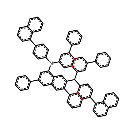 c1ccc(-c2cccc(C(c3ccc(-c4cccc5ccccc45)cc3)c3cc4c(N(c5ccc(-c6cccc7ccccc67)cc5)c5cccc(-c6ccccc6)c5)cc(-c5ccccc5)cc4cc3-c3ccccc3)c2)cc1